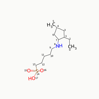 CCC1CC(C)CC1NCCCCCS(=O)(=O)O